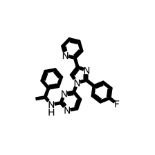 CC(Nc1nccc(-n2cc(-c3ccccn3)nc2-c2ccc(F)cc2)n1)c1ccccc1